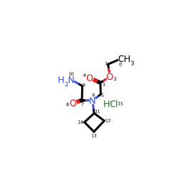 CCOC(=O)CN(C(=O)CN)C1CCC1.Cl